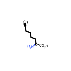 C#CCCCC[C@H](N)C(=O)O